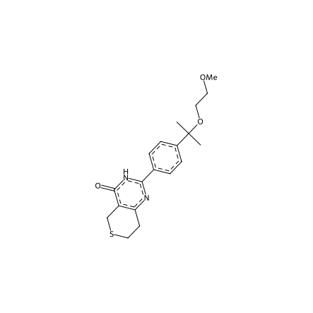 COCCOC(C)(C)c1ccc(-c2nc3c(c(=O)[nH]2)CSCC3)cc1